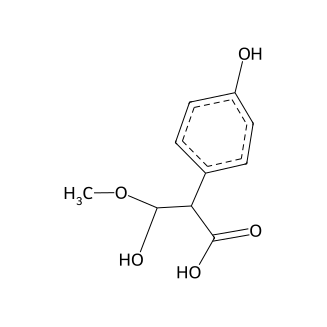 COC(O)C(C(=O)O)c1ccc(O)cc1